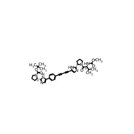 COC(=O)N[C@H](C(=O)N1CCC[C@H]1c1ncc(C#CC#Cc2ccc(-c3cnc([C@@H]4CCCN4C(=O)OC(C)(C)C)[nH]3)cc2)[nH]1)C(C)C